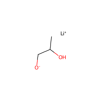 CC(O)C[O-].[Li+]